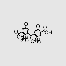 COc1cc(C(=O)O)c([N+](=O)[O-])c(C(C)c2cc(OC)c(C(=O)O)cc2[N+](=O)[O-])c1